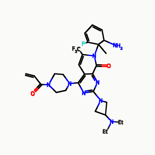 C=CC(=O)N1CCN(c2nc(N3CC(N(CC)CC)C3)nc3c(=O)n(C4(C)C(F)=CC=CC4N)c(C(F)(F)F)cc23)CC1